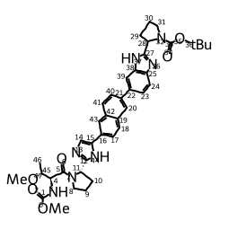 COC(=O)N[C@H](C(=O)N1CCC[C@H]1c1ncc(-c2ccc3cc(-c4ccc5nc(C6CCCN6C(=O)OC(C)(C)C)[nH]c5c4)ccc3c2)[nH]1)[C@@H](C)OC